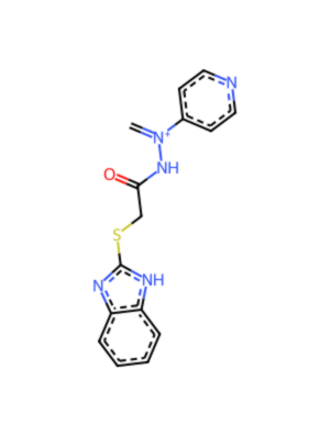 C=[N+](NC(=O)CSc1nc2ccccc2[nH]1)c1ccncc1